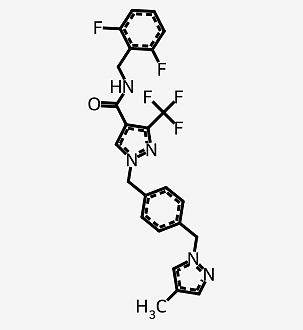 Cc1cnn(Cc2ccc(Cn3cc(C(=O)NCc4c(F)cccc4F)c(C(F)(F)F)n3)cc2)c1